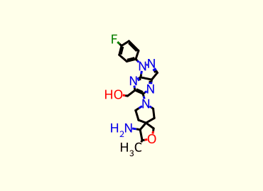 CC1OCC2(CCN(c3nc4cnn(-c5ccc(F)cc5)c4nc3CO)CC2)C1N